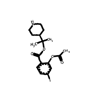 CC(=O)Oc1cc(I)ccc1C(=O)OC(C)(C)C1CCNCC1